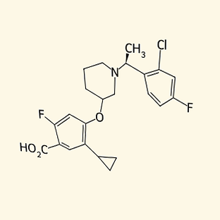 C[C@@H](c1ccc(F)cc1Cl)N1CCCC(Oc2cc(F)c(C(=O)O)cc2C2CC2)C1